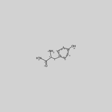 NC(=O)C(N)Cc1ccc(O)cc1